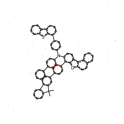 CC1(C)c2ccccc2-c2ccc(-c3ccc(-c4c(N(c5ccc(-c6ccccc6)cc5)c5ccc(-c6cccc7c6sc6ccccc67)cc5)ccc5c4oc4ccc6ccccc6c45)cc3)cc21